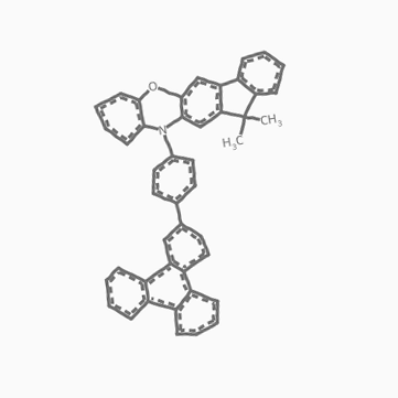 CC1(C)c2ccccc2-c2cc3c(cc21)N(c1ccc(-c2ccc4c5ccccc5c5ccccc5c4c2)cc1)c1ccccc1O3